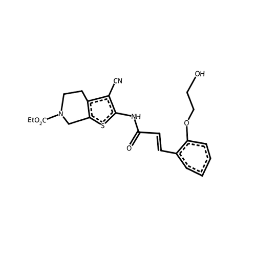 CCOC(=O)N1CCc2c(sc(NC(=O)C=Cc3ccccc3OCCO)c2C#N)C1